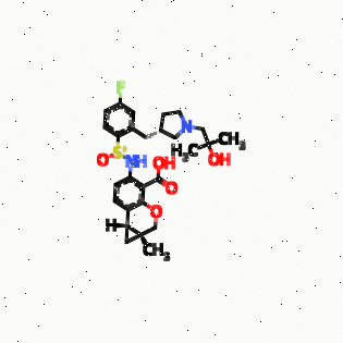 CC(C)(O)CN1CC[C@@H](Cc2cc(F)ccc2[S+]([O-])Nc2ccc3c(c2C(=O)O)OC[C@]2(C)C[C@H]32)C1